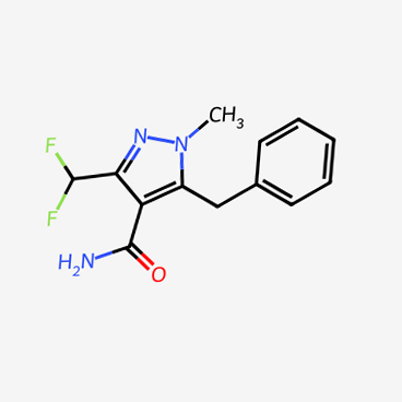 Cn1nc(C(F)F)c(C(N)=O)c1Cc1ccccc1